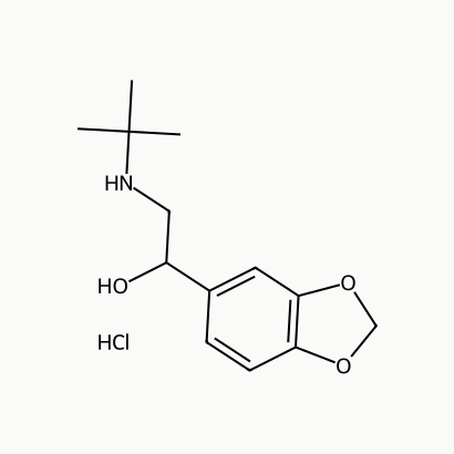 CC(C)(C)NCC(O)c1ccc2c(c1)OCO2.Cl